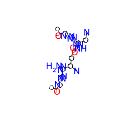 COC(c1cccc(Cn2cc(-c3cc(-c4cc(C#N)cc(-c5ccc(COC(=O)Nc6nc(-c7cccc(C#N)c7)cc(-c7cn(Cc8cccc(C(OC)C9CCCC9)n8)nn7)n6)cc5)c4)nc(N)n3)nn2)n1)C1CCCC1